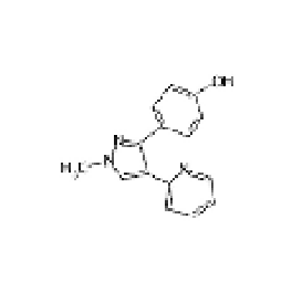 Cn1cc(-c2ccccn2)c(-c2ccc(O)cc2)n1